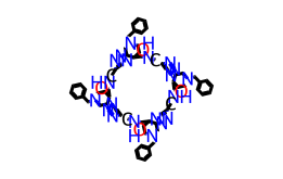 O=C1NCc2cn(nn2)C2(CCN(Cc3ccccc3)CC2)C(=O)NCc2cn(nn2)C2(CCN(Cc3ccccc3)CC2)C(=O)NCc2cn(nn2)C2(CCN(Cc3ccccc3)CC2)C(=O)NCc2cn(nn2)C12CCN(Cc1ccccc1)CC2